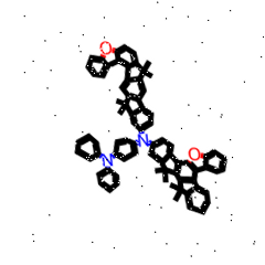 CC1(C)c2cc(N(c3ccc(N(c4ccccc4)c4ccccc4)cc3)c3ccc4c(c3)C(C)(C)c3c5c(c6c(oc7ccccc76)c3-4)-c3ccccc3C5(C)C)ccc2-c2cc3c(cc21)-c1c(ccc2oc4ccccc4c12)C3(C)C